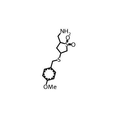 COc1ccc(CSC2CC(CN)S(=O)(=O)C2)cc1